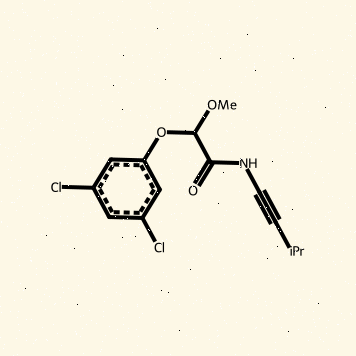 COC(Oc1cc(Cl)cc(Cl)c1)C(=O)NC#CC(C)C